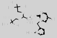 CN(C)C(OCC(C)(C)C)OCC(C)(C)C.Cn1cccc1Cn1cc(Cl)cnc1=O